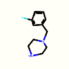 Fc1c[c]cc(CN2CCNCC2)c1